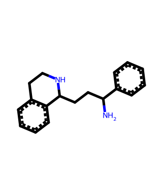 NC(CCC1NCCc2ccccc21)c1ccccc1